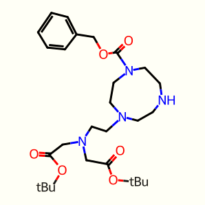 CC(C)(C)OC(=O)CN(CCN1CCNCCN(C(=O)OCc2ccccc2)CC1)CC(=O)OC(C)(C)C